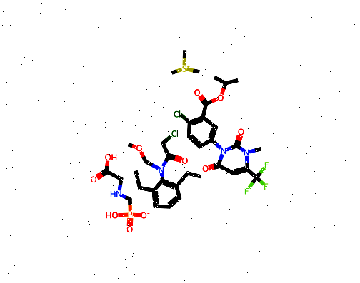 CC(C)OC(=O)c1cc(-n2c(=O)cc(C(F)(F)F)n(C)c2=O)ccc1Cl.CCc1cccc(CC)c1N(COC)C(=O)CCl.C[S+](C)C.O=C(O)CNCP(=O)([O-])O